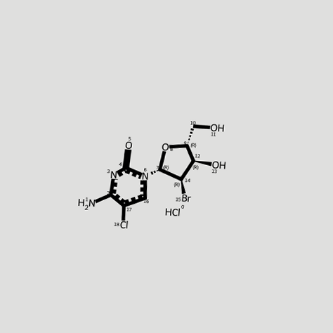 Cl.Nc1nc(=O)n([C@@H]2O[C@H](CO)[C@@H](O)[C@H]2Br)cc1Cl